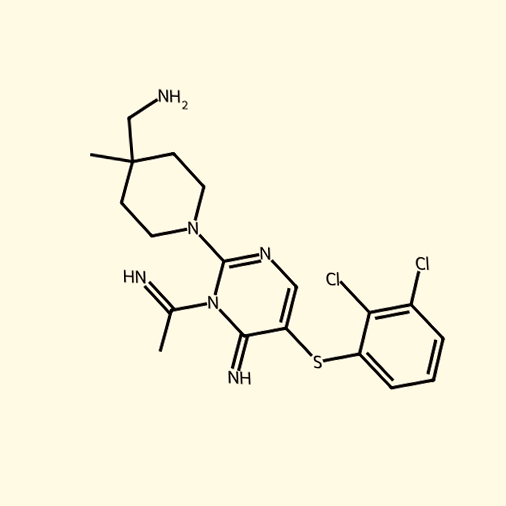 CC(=N)n1c(N2CCC(C)(CN)CC2)ncc(Sc2cccc(Cl)c2Cl)c1=N